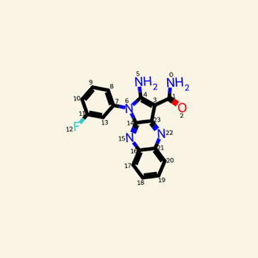 NC(=O)c1c(N)n(-c2cccc(F)c2)c2nc3ccccc3nc12